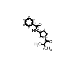 CC(C)C(=O)N1CCC(NC(=O)c2ccccc2)C1